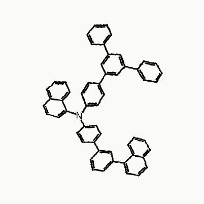 c1ccc(-c2cc(-c3ccccc3)cc(-c3ccc(N(c4ccc(-c5cccc(-c6cccc7ccccc67)c5)cc4)c4cccc5ccccc45)cc3)c2)cc1